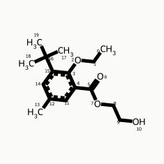 CCOc1c(C(=O)OCCO)cc(C)cc1C(C)(C)C